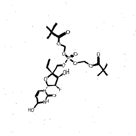 CC[C@]1(COP(=O)(OCOC(=O)C(C)(C)C)OCOC(=O)C(C)(C)C)O[C@@H](N2C=CC(O)NC2=O)[C@H](F)[C@@H]1O